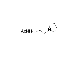 CC(=O)NCCCN1CCCC1